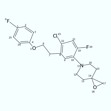 Fc1ccc(OCCc2cc(N3CCC4(CC3)CO4)c(F)cc2Cl)cc1